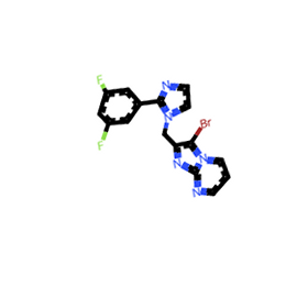 Fc1cc(F)cc(-c2nccn2Cc2nc3ncccn3c2Br)c1